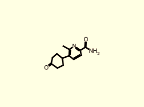 Cc1nc(C(N)=O)ccc1C1CCC(=O)CC1